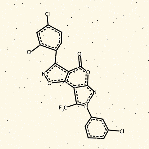 O=c1oc2nn(-c3cccc(Cl)c3)c(C(F)(F)F)c2c2onc(-c3ccc(Cl)cc3Cl)c12